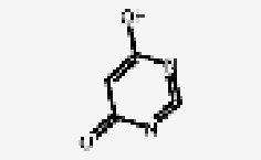 O=C1C=C(O)N=C=N1